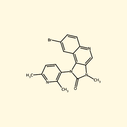 Cc1ccc(-n2c(=O)n(C)c3cnc4ccc(Br)cc4c32)c(C)n1